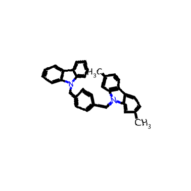 Cc1ccc2c3ccc(C)cc3n(Cc3ccc(Cn4c5ccccc5c5ccccc54)cc3)c2c1